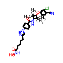 CC1(C)C(NC(=O)c2ccc(-n3cc(CCCCCC(=O)NO)nn3)cc2)C(C)(C)C1Oc1ccc(C#N)c(Cl)c1